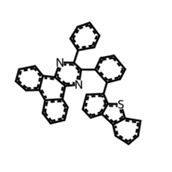 c1ccc(-c2nc3c4ccccc4c4ccccc4c3nc2-c2ccccc2-c2cccc3c2sc2ccccc23)cc1